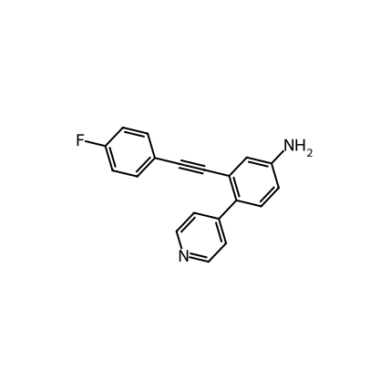 Nc1ccc(-c2ccncc2)c(C#Cc2ccc(F)cc2)c1